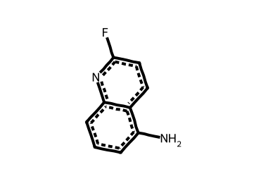 Nc1cccc2nc(F)ccc12